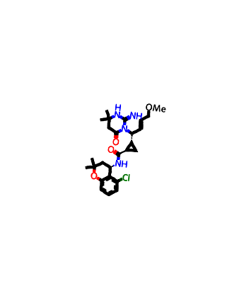 COC/C=C/C([C@@H]1C[C@H]1C(=O)N[C@H]1CC(C)(C)Oc2cccc(Cl)c21)N1C(=N)NC(C)(C)CC1=O